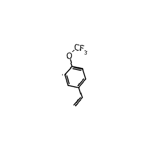 C=Cc1c[c]c(OC(F)(F)F)cc1